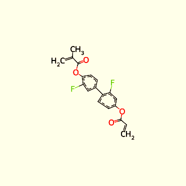 C=CC(=O)Oc1ccc(-c2ccc(OC(=O)C(=C)C)c(F)c2)c(F)c1